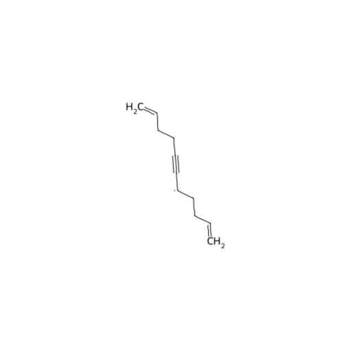 C=CCCC#C[CH]CCC=C